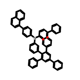 c1ccc(-c2ccc(N(c3ccc(-c4cccc5ccccc45)cc3)c3cccc(-c4c(-c5ccccc5)cc(-c5ccccc5)cc4-c4ccccc4)c3)cc2)cc1